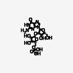 Nc1nc2c(ncn2[C@@H]2O[C@H](CO)[C@@H](O)[C@H]2OC2O[C@H](COP(=O)(O)O)[C@@H](O)[C@H]2O)c(=O)[nH]1